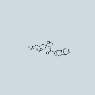 CCCCC(C)(CC)OC(=O)C1CC2CC1C1C3C=CC(C3)C21